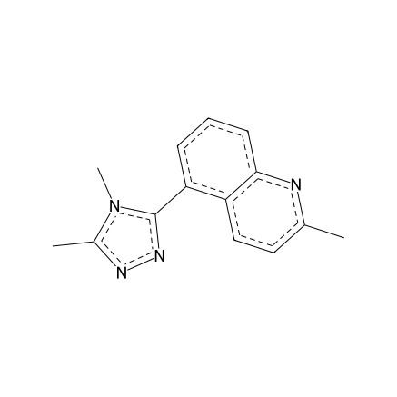 Cc1ccc2c(-c3nnc(C)n3C)cccc2n1